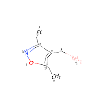 BCc1c(CC)noc1C